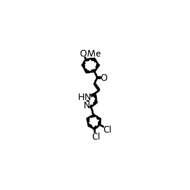 COc1ccc(C(=O)C=Cc2cc(-c3ccc(Cl)c(Cl)c3)n[nH]2)cc1